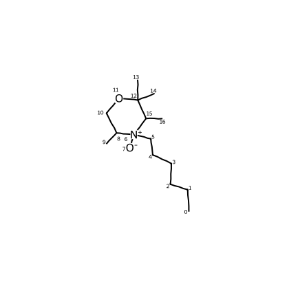 CCCCCC[N+]1([O-])C(C)COC(C)(C)C1C